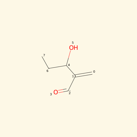 C=C([C]=O)C(O)CC